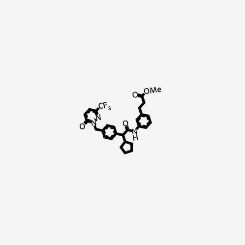 COC(=O)CCc1cccc(NC(=O)C(c2ccc(Cn3nc(C(F)(F)F)ccc3=O)cc2)C2CCCC2)c1